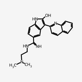 CN(C)CCNC(=N)c1ccc2[nH]c(O)c(-c3ccc4ccccc4n3)c2c1